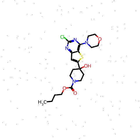 CCCCOC(=O)N1CCC(O)(c2cc3nc(Cl)nc(N4CCOCC4)c3s2)CC1